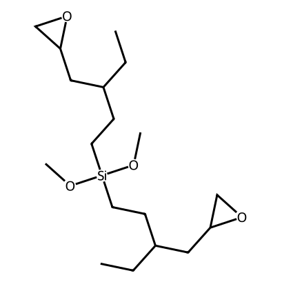 CCC(CC[Si](CCC(CC)CC1CO1)(OC)OC)CC1CO1